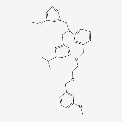 COc1cccc(COCCOCc2cccc(N(Cc3cccc(OC)c3)Cc3cccc(N(C)C)c3)c2)c1